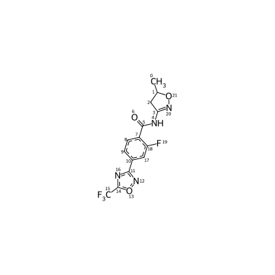 CC1CC(NC(=O)c2ccc(-c3noc(C(F)(F)F)n3)cc2F)=NO1